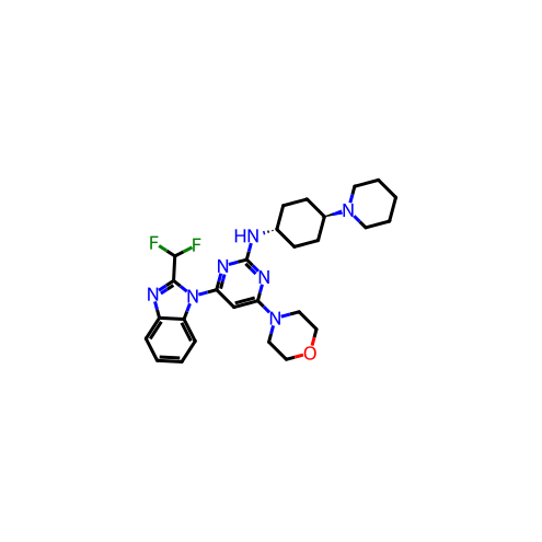 FC(F)c1nc2ccccc2n1-c1cc(N2CCOCC2)nc(N[C@H]2CC[C@H](N3CCCCC3)CC2)n1